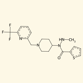 CNN(C(=O)c1cccs1)C1CCN(Cc2cccc(C(F)(F)F)n2)CC1